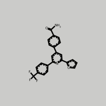 NC(=O)c1ccc(-c2cc(-c3ccc(C(F)(F)F)cc3)nc(-c3ccco3)c2)cc1